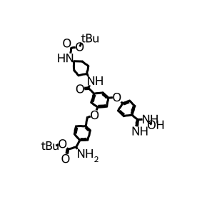 CC(C)(C)OC(=O)NC1CCC(NC(=O)c2cc(OCc3ccc(C(N)C(=O)OC(C)(C)C)cc3)cc(Oc3ccc(C(=N)NO)cc3)c2)CC1